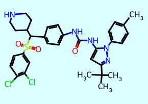 Cc1ccc(-n2nc(C(C)(C)C)cc2NC(=O)Nc2ccc(C(C3CCNCC3)S(=O)(=O)c3ccc(Cl)c(Cl)c3)cc2)cc1